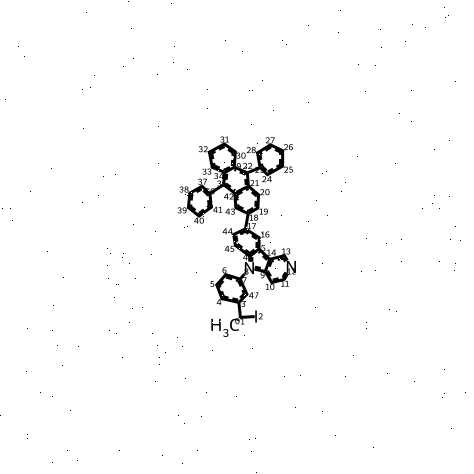 CC(I)c1cccc(-n2c3ccncc3c3cc(-c4ccc5c(-c6ccccc6)c6ccccc6c(-c6ccccc6)c5c4)ccc32)c1